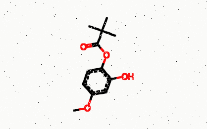 COc1ccc(OC(=O)C(C)(C)C)c(O)c1